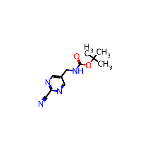 CC(C)(C)OC(=O)NCc1cnc(C#N)nc1